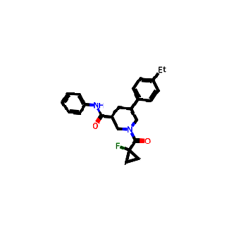 CCc1ccc(C2CC(C(=O)Nc3ccccc3)CN(C(=O)C3(F)CC3)C2)cc1